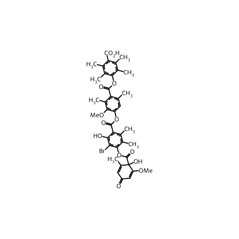 COC1=CC(=O)C=C(C)C1(O)C(=O)Oc1c(C)c(C)c(C(=O)Oc2cc(C)c(C(=O)Oc3c(C)c(C)c(C(=O)O)c(C)c3C)c(C)c2OC)c(O)c1Br